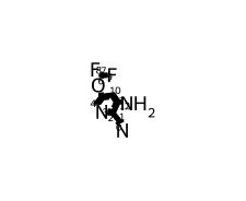 N#Cc1ncc(OC(F)F)cc1N